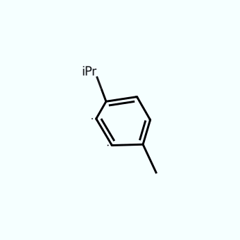 Cc1[c][c]c(C(C)C)cc1